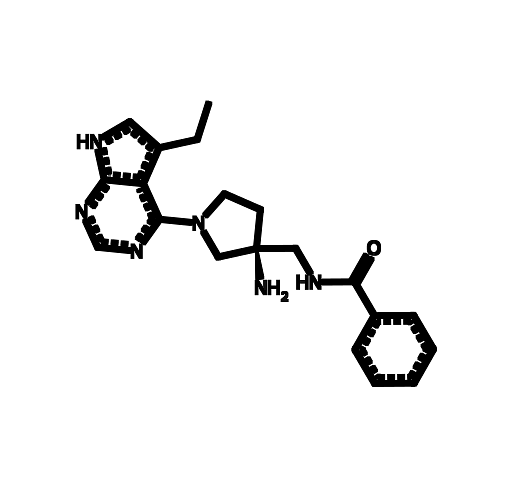 CCc1c[nH]c2ncnc(N3CC[C@](N)(CNC(=O)c4ccccc4)C3)c12